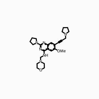 COc1cc2c(NCN3CCOCC3)nc(N3CCCC3)nc2cc1C#CCN1CCCC1